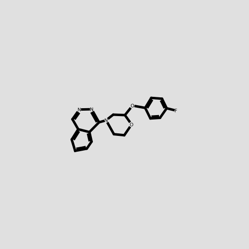 Fc1ccc(OC2CN(c3nncc4ccccc34)CCO2)cc1